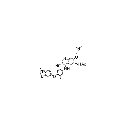 CC(=O)Nc1cc2c(Nc3ccc(Oc4ccn5c(c4)nc[n+]5C)c(C)c3)c(C#N)cnc2cc1OCCN(C)C